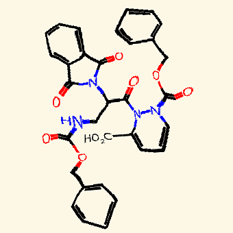 O=C(NCC(C(=O)N1C(C(=O)O)=CC=CN1C(=O)OCc1ccccc1)N1C(=O)c2ccccc2C1=O)OCc1ccccc1